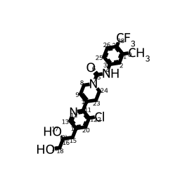 Cc1cc(NC(=O)N2CC=C(c3ncc(C[C@@H](O)CO)cc3Cl)CC2)ccc1C(F)(F)F